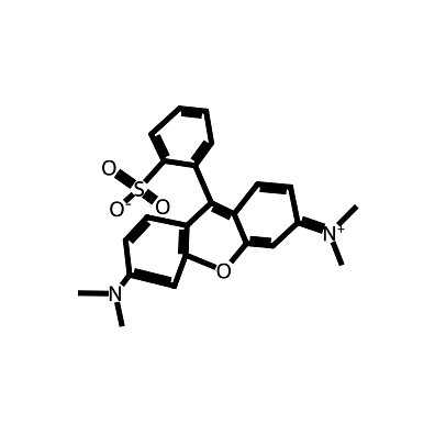 CN(C)c1ccc2c(-c3ccccc3S(=O)(=O)[O-])c3ccc(=[N+](C)C)cc-3oc2c1